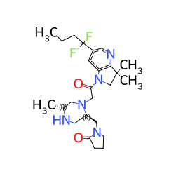 CCCC(F)(F)c1cnc2c(c1)N(C(=O)CN1C[C@@H](C)NC[C@@H]1CN1CCCC1=O)CC2(C)C